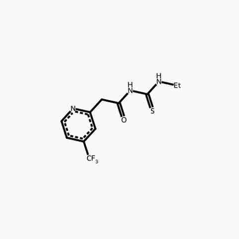 CCNC(=S)NC(=O)Cc1cc(C(F)(F)F)ccn1